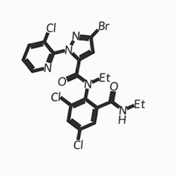 CCNC(=O)c1cc(Cl)cc(Cl)c1N(CC)C(=O)c1cc(Br)nn1-c1ncccc1Cl